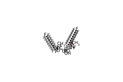 CC[N+](F)(CCOP(=O)(O)OCC[N+](F)(CC)S(=O)(=O)C(F)(F)C(F)(F)C(F)(F)C(F)(F)C(F)(F)C(F)(F)C(F)(F)C(F)(F)F)S(=O)(=O)C(F)(F)C(F)(F)C(F)(F)C(F)(F)C(F)(F)C(F)(F)C(F)(F)C(F)(F)F